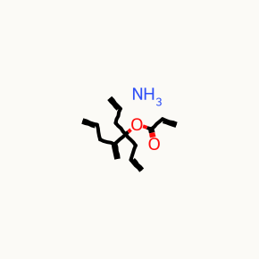 C=CCC(=C)C(CC=C)(CC=C)OC(=O)C=C.N